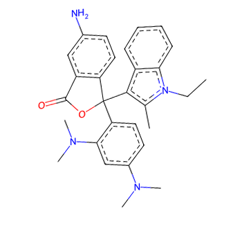 CCn1c(C)c(C2(c3ccc(N(C)C)cc3N(C)C)OC(=O)c3cc(N)ccc32)c2ccccc21